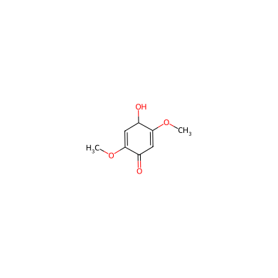 COC1=CC(O)C(OC)=CC1=O